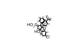 O=C(O)[C@H]1C[C@@]2(O)c3ncc(Cl)cc3O[C@@]2(c2ccc(C(F)F)cc2)[C@@H]1c1ccccc1